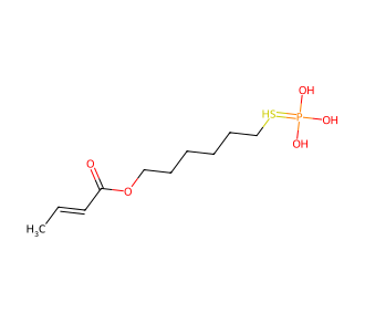 CC=CC(=O)OCCCCCC[SH]=P(O)(O)O